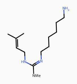 CNC(=NCCCCCCN)NCC=C(C)C